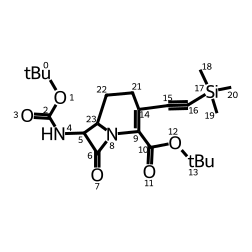 CC(C)(C)OC(=O)NC1C(=O)N2C(C(=O)OC(C)(C)C)=C(C#C[Si](C)(C)C)CCC12